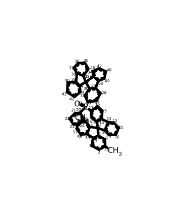 Cc1ccc2c(c1)C1(c3ccccc3-c3ccc(P(=O)(c4ccccc4)c4ccc5c(c4)C4(c6ccccc6-c6ccccc64)c4ccccc4-5)cc31)c1cc(C)ccc1-2